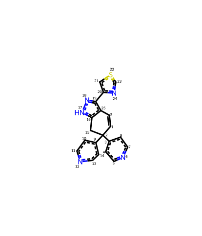 C1=CC(c2ccncc2)(c2ccncc2)Cc2[nH]nc(-c3cscn3)c21